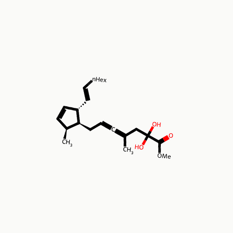 CCCCCCC=C[C@H]1C=C[C@H](C)[C@@H]1CC=C=C(C)CC(O)(O)C(=O)OC